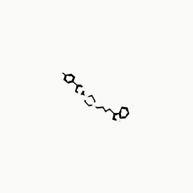 N#Cc1ccc2[nH]cc(CCCCN3CCN(c4ncc(-c5ccc(Cl)cc5)cn4)CC3)c2c1